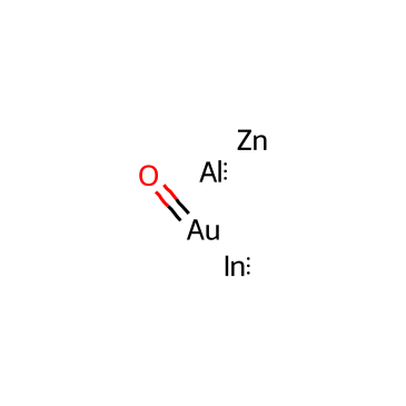 [Al].[In].[O]=[Au].[Zn]